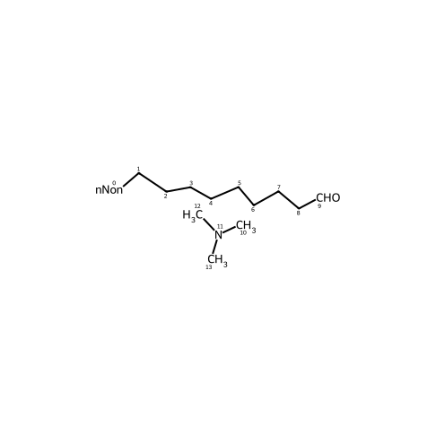 CCCCCCCCCCCCCCCCCC=O.CN(C)C